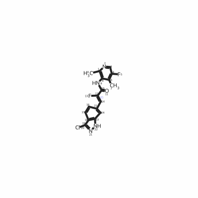 Cc1ncc(F)c(C)c1NC(=O)/C(F)=C/c1ccc2c(Cl)n[nH]c2c1